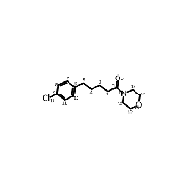 O=C(CCCCc1ccc(Cl)cc1)N1CCOCC1